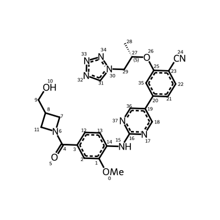 COc1cc(C(=O)N2CC(CO)C2)ccc1Nc1ncc(-c2ccc(C#N)c(O[C@@H](C)Cn3cnnn3)c2)cn1